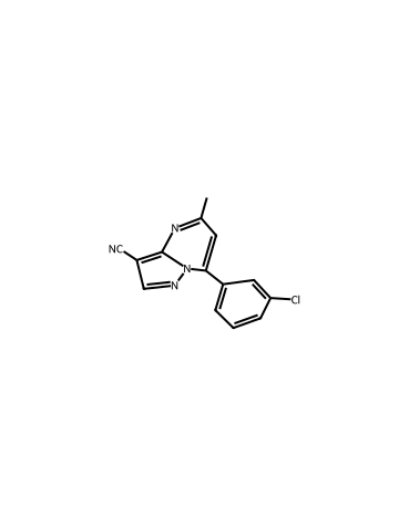 Cc1cc(-c2cccc(Cl)c2)n2ncc(C#N)c2n1